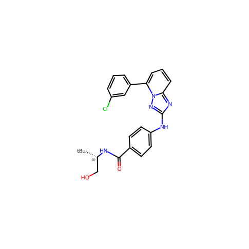 CC(C)(C)[C@@H](CO)NC(=O)c1ccc(Nc2nc3cccc(-c4cccc(Cl)c4)n3n2)cc1